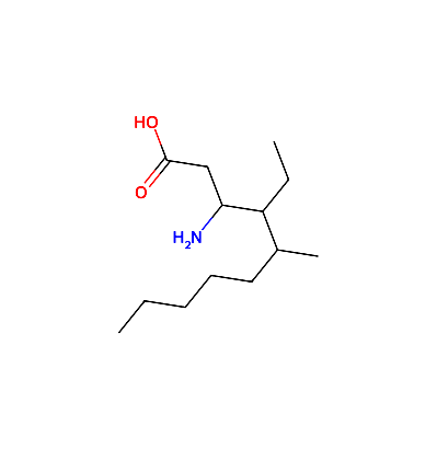 CCCCCC(C)C(CC)C(N)CC(=O)O